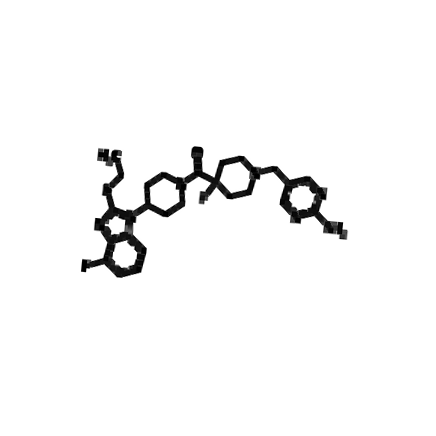 CCSc1nc2c(F)cccc2n1C1CCN(C(=O)C2(F)CCN(Cc3cnc(N)nc3)CC2)CC1